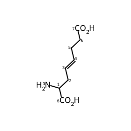 NC(CC=CCCC(=O)O)C(=O)O